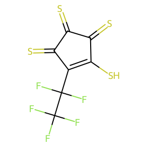 FC(F)(F)C(F)(F)c1c(S)c(=S)c(=S)c1=S